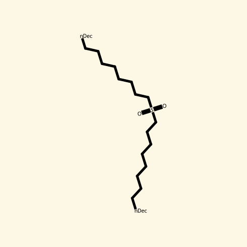 CCCCCCCCCCCCCCCCCCS(=O)(=O)CCCCCCCCCCCCCCCCCC